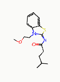 COCCn1c(=NC(=O)CCC(C)C)sc2ccccc21